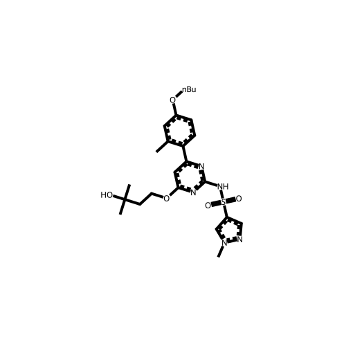 CCCCOc1ccc(-c2cc(OCCC(C)(C)O)nc(NS(=O)(=O)c3cnn(C)c3)n2)c(C)c1